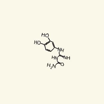 N=C(NC(N)=O)Nc1ccc(O)c(O)c1